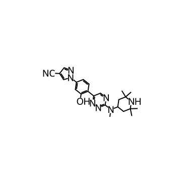 CN(c1ncc(-c2ccc(-n3cc(C#N)cn3)cc2O)nn1)C1CC(C)(C)NC(C)(C)C1